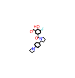 O=Cc1cc(C(=O)N2CCCC2c2ccc(N3CCCC3)cc2)cc(F)c1O